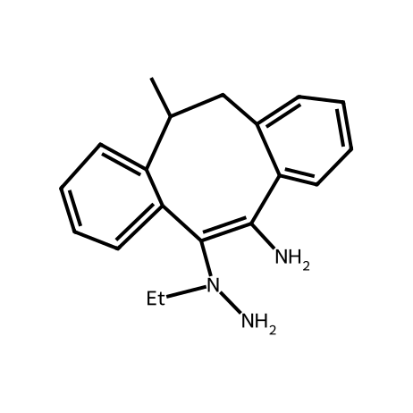 CCN(N)/C1=C(\N)c2ccccc2CC(C)c2ccccc21